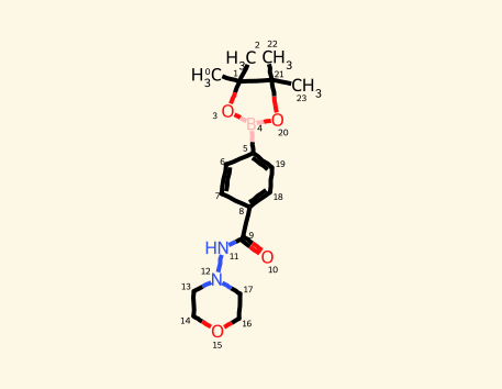 CC1(C)OB(c2ccc(C(=O)NN3CCOCC3)cc2)OC1(C)C